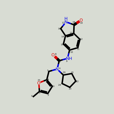 Cc1ccc(CN(C(=O)Nc2ccc3c(c2)CNC3=O)C2CCCC2)o1